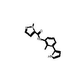 Cc1c(NC(=O)c2ccnn2C)cccc1-c1ccc[nH]1